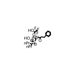 CCCC(CCC)S(=O)(=O)C[C@H](NC(=O)CCc1ccccc1)C(=O)O.O=C(O)C(F)(F)F